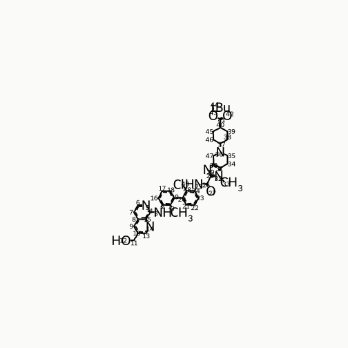 Cc1c(Nc2nccc3cc(CO)cnc23)cccc1-c1cccc(NC(=O)c2nc3c(n2C)CCN(C2CCC(C(=O)OC(C)(C)C)CC2)C3)c1Cl